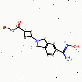 CC(C)(C)OC(=O)C1CC(N2Cc3ccc(C(N)=NO)cc3C2)C1